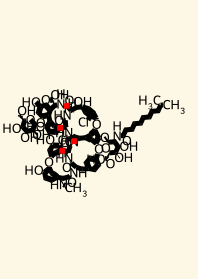 CN[C@H]1C(=O)NC2Cc3ccc(cc3)Oc3cc4cc(c3O[C@@H]3O[C@H](C(=O)O)[C@@H](O)[C@H](O)[C@H]3NC(=O)CCCCCCCCC(C)C)Oc3ccc(cc3Cl)[C@@H](O)[C@@H]3NC(=O)[C@H](NC(=O)[C@@H]4NC(=O)[C@@H](NC2=O)c2cc(cc(O)c2Cl)Oc2cc1ccc2O)c1ccc(O)c(c1)-c1c(O[C@H]2O[C@H](CO)[C@@H](O)[C@H](O)[C@@H]2O)cc(O)cc1[C@@H](C(=O)O)NC3=O